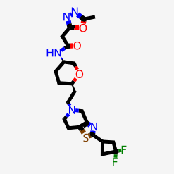 Cc1nnc(CC(=O)N[C@H]2CC[C@H](CCN3CCc4sc(C5CC(F)(F)C5)nc4C3)OC2)o1